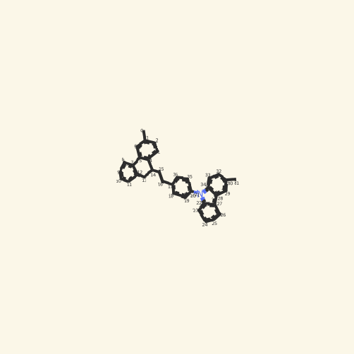 Cc1ccc2c(c1)-c1ccccc1CC2CCc1ccc(-n2c3ccccc3c3cc(C)ccc32)cc1